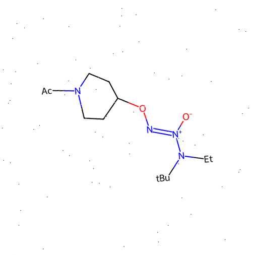 CCN(/[N+]([O-])=N/OC1CCN(C(C)=O)CC1)C(C)(C)C